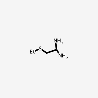 CCSCC(N)N